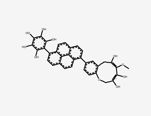 COC1=C(\O)Cc2cc(-c3ccc4ccc5c(-c6c(O)c(O)c(O)c(O)c6O)ccc6ccc3c4c65)ccc2OC/C(O)=C\1O